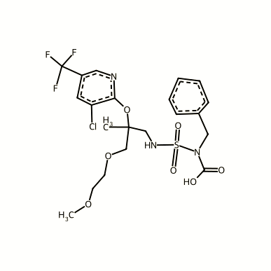 COCCOCC(C)(CNS(=O)(=O)N(Cc1ccccc1)C(=O)O)Oc1ncc(C(F)(F)F)cc1Cl